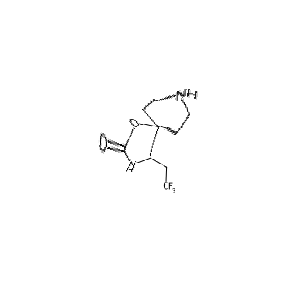 O=C1NC(CC(F)(F)F)C2(CCNCC2)O1